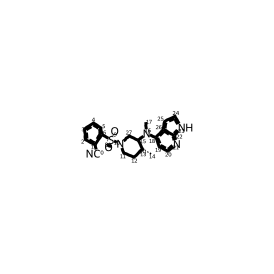 [C-]#[N+]c1ccccc1S(=O)(=O)N1CC[C@@H](C)C(N(C)c2ccnc3[nH]ccc23)C1